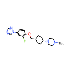 CC(C)(C)N1CCN([C@H]2CC[C@H](COc3ccc(-n4cncn4)cc3F)CC2)CC1